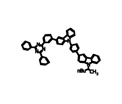 CCCCC(C)n1c2ccccc2c2cc(-c3ccc(-n4c5ccccc5c5cc(-c6cccc(-c7nc(-c8ccccc8)nc(-c8ccccc8)n7)c6)ccc54)cc3)ccc21